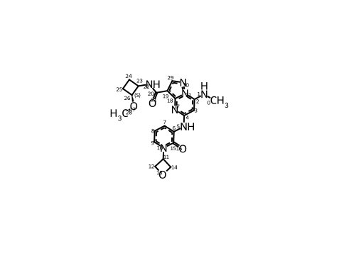 CNc1cc(Nc2cccn(C3COC3)c2=O)nc2c(C(=O)NC3CC[C@@H]3OC)cnn12